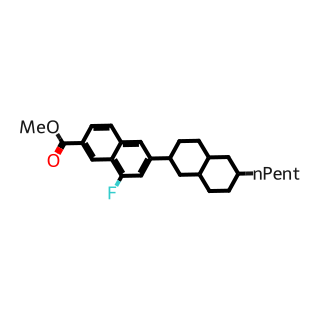 CCCCCC1CCC2CC(c3cc(F)c4cc(C(=O)OC)ccc4c3)CCC2C1